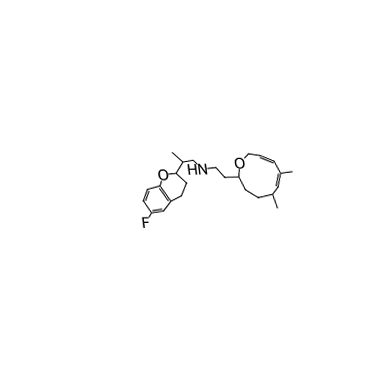 CC1=C/C(C)CCC(CCNCC(C)C2CCc3cc(F)ccc3O2)OC/C=C\1